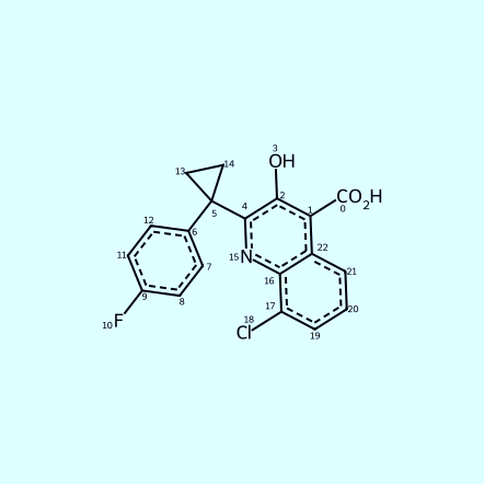 O=C(O)c1c(O)c(C2(c3ccc(F)cc3)CC2)nc2c(Cl)cccc12